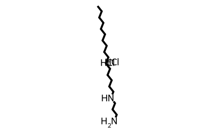 CCCCCCCCCCCCCCCCNCCCN.Cl.Cl